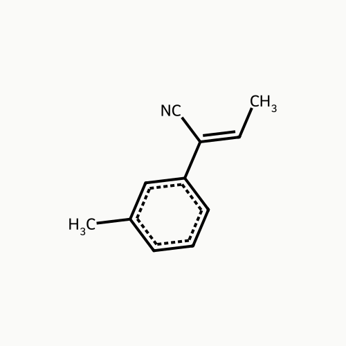 C/C=C(\C#N)c1cccc(C)c1